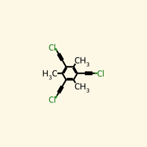 Cc1c(C#CCl)c(C)c(C#CCl)c(C)c1C#CCl